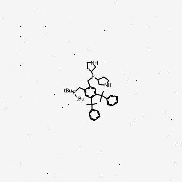 CC(C)(c1ccccc1)c1cc(CP(C2CCNC2)C2CCNC2)c(CP(C(C)(C)C)C(C)(C)C)cc1C(C)(C)c1ccccc1